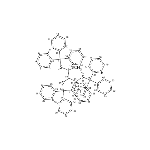 CC(SC(c1ccccc1)(c1ccccc1)c1ccccc1)C(SC(c1ccccc1)(c1ccccc1)c1ccccc1)C(C)SC(c1ccccc1)(c1ccccc1)c1ccccc1